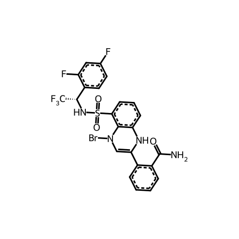 NC(=O)c1ccccc1C1=CN(Br)c2c(cccc2S(=O)(=O)N[C@@H](c2ccc(F)cc2F)C(F)(F)F)N1